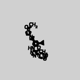 C=CC(=O)N1CC[C@H](N2CC(c3cc4c(c(C5CC5)c3)O[C@@H](C)c3c(ncnc3N3CCS(=O)(=O)CC3)N4)C2)C1